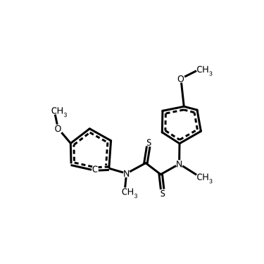 COc1ccc(N(C)C(=S)C(=S)N(C)c2ccc(OC)cc2)cc1